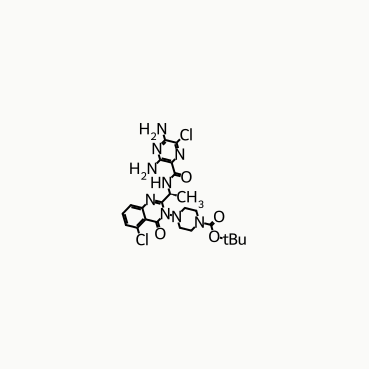 C[C@H](NC(=O)c1nc(Cl)c(N)nc1N)c1nc2cccc(Cl)c2c(=O)n1N1CCN(C(=O)OC(C)(C)C)CC1